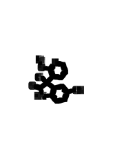 CCOc1ncccc1C1(Cl)C(=O)Nc2ccc(C#N)cc21